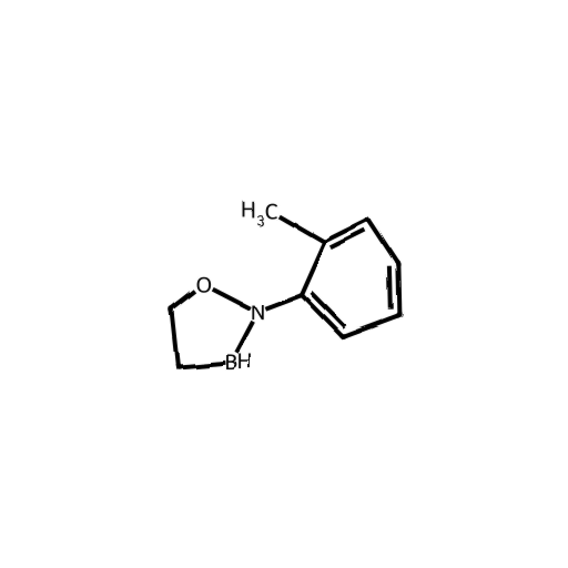 Cc1ccccc1N1BCCO1